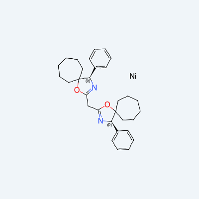 [Ni].c1ccc([C@H]2N=C(CC3=N[C@H](c4ccccc4)C4(CCCCCC4)O3)OC23CCCCCC3)cc1